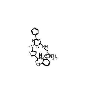 Cc1cccc(Cl)c1NC(=O)c1cnc(Nc2nc(NCCN(C)C)nc(-c3ccccc3)n2)s1